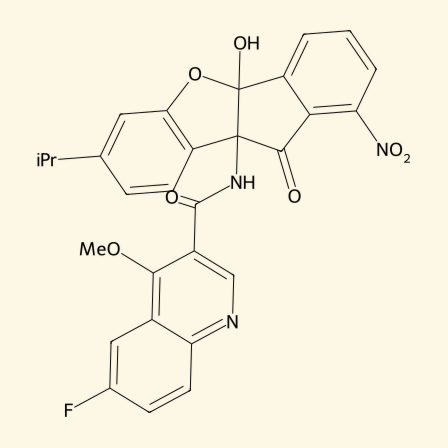 COc1c(C(=O)NC23C(=O)c4c([N+](=O)[O-])cccc4C2(O)Oc2cc(C(C)C)ccc23)cnc2ccc(F)cc12